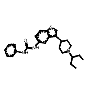 CCC(CC)N1CCC(c2csc3ccc(NC(=O)Nc4ccccc4)cc23)CC1